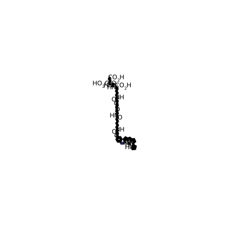 O=C(O)CC[C@H](NC(=O)N[C@@H](CCCCNC(=O)COCCOCCNC(=O)CCCCCNC(=O)COc1ccc(/C=C\c2ccc3n2[B-](F)(F)[N+]2=C(c4ccc[nH]4)C=CC2=C3)cc1)C(=O)O)C(=O)O